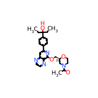 CCC(O)(CC)c1ccc(-c2cc3nccnc3c(OC[C@@H]3CN(C(C)=O)CCO3)n2)cc1